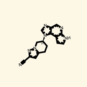 N#Cc1cc2n(n1)C[C@@H](n1cnc3cnc4[nH]ccc4c31)CC2